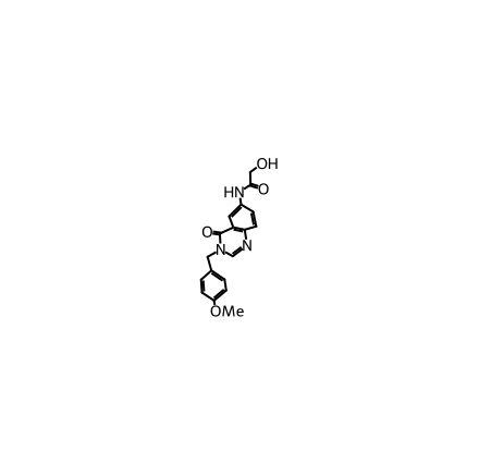 COc1ccc(Cn2cnc3ccc(NC(=O)CO)cc3c2=O)cc1